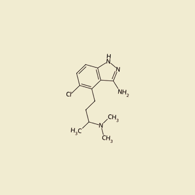 CC(CCc1c(Cl)ccc2[nH]nc(N)c12)N(C)C